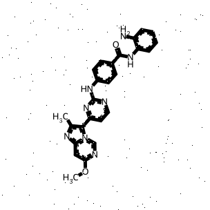 COc1cc2nc(C)c(-c3ccnc(Nc4ccc(C(=O)Nc5ccccc5N)cc4)n3)n2cn1